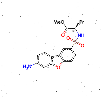 COC(=O)[C@H](NS(=O)(=O)c1ccc2oc3cc(N)ccc3c2c1)C(C)C